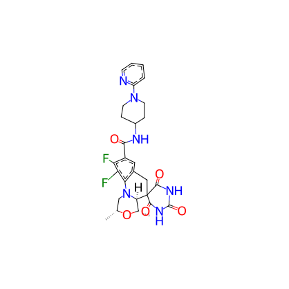 C[C@@H]1CN2c3c(cc(C(=O)NC4CCN(c5ccccn5)CC4)c(F)c3F)CC3(C(=O)NC(=O)NC3=O)[C@H]2[C@H](C)O1